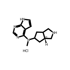 CN(c1ncnc2[nH]ccc12)C1CC2CNC[C@@H]2C1.Cl